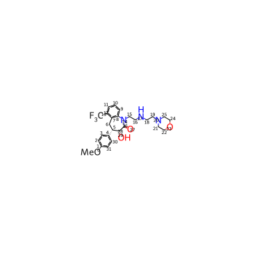 COc1ccc([C@@H]2Cc3c(cccc3C(F)(F)F)N(CCNCCN3CCOCC3)C(=O)[C@@H]2O)cc1